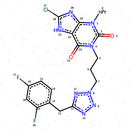 CCCn1c(=O)n(CCCn2nnc(Cc3ccc(F)cc3F)n2)c(=O)c2[nH]c(Cl)nc21